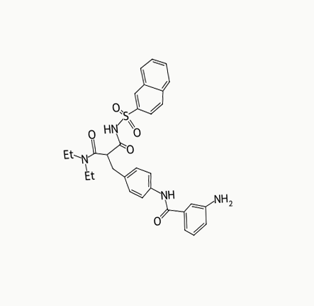 CCN(CC)C(=O)C(Cc1ccc(NC(=O)c2cccc(N)c2)cc1)C(=O)NS(=O)(=O)c1ccc2ccccc2c1